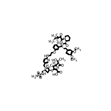 CCC(C)(C)C(=O)C(=O)N1CCCC[C@H]1C(=O)O[C@H](CCc1ccc(OC)c(OC)c1)c1cccc(OCCNc2ccc(CN3C[C@@H](SC4=C(C(=O)O)N5C(=O)[C@H]([C@@H](C)O)[C@H]5[C@H]4C)C[C@H]3CNS(N)(=O)=O)cn2)c1